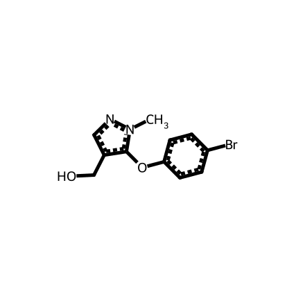 Cn1ncc(CO)c1Oc1ccc(Br)cc1